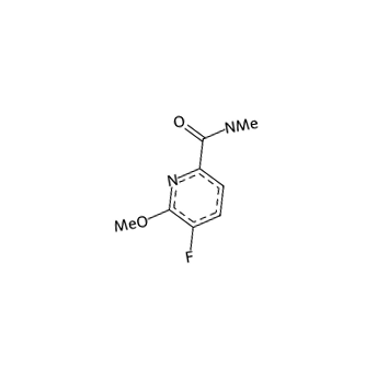 CNC(=O)c1ccc(F)c(OC)n1